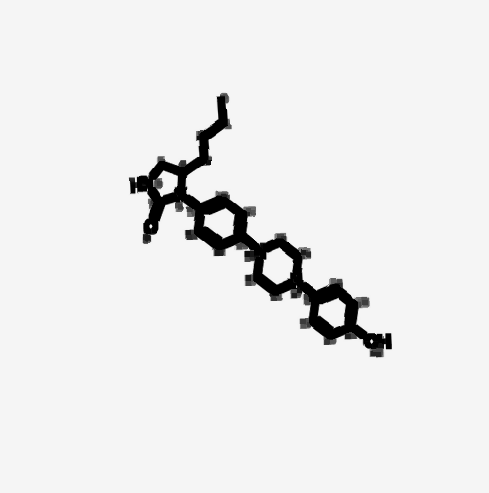 CCCCC1CNC(=O)N1c1ccc(N2CCN(c3ccc(O)cc3)CC2)cc1